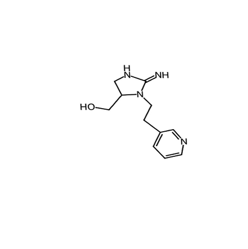 N=C1NCC(CO)N1CCc1cccnc1